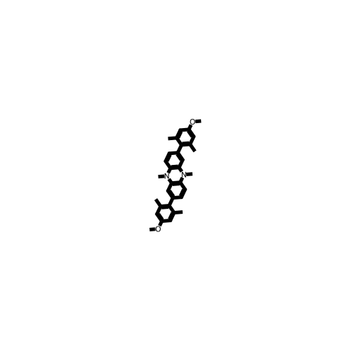 COc1cc(C)c(-c2ccc3c(c2)N(C)c2ccc(-c4c(C)cc(OC)cc4C)cc2N3C)c(C)c1